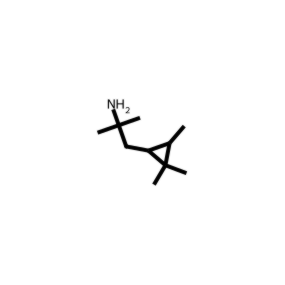 CC1C(CC(C)(C)N)C1(C)C